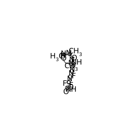 Cc1cc2cc(n1)-c1cnn(C)c1OCCC[C@@H](C)CN1/C(=N/C2=O)Nc2ccc(N3CCN([C@H]4CCN(c5cc(F)c([C@H]6CCC(=O)NC6=O)c(F)c5)C[C@@H]4F)CC3)cc21